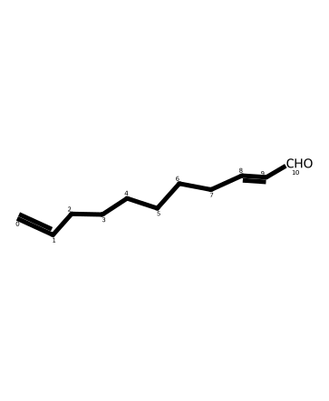 C=CCCCCCC/C=C/C=O